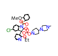 CCOc1ncccc1C1(OC(=O)ON2CCC(N3CCN(C)CC3)CC2)C(=O)N(S(=O)(=O)c2ccccc2OC)c2ccc(Cl)cc21